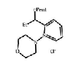 CCCCCC(CC)c1cccc[n+]1N1CCOCC1.[Cl-]